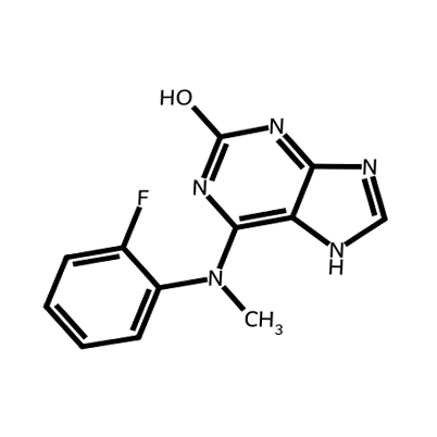 CN(c1ccccc1F)c1nc(O)nc2nc[nH]c12